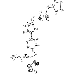 CCOC(Cc1ccc(-c2csc(CNCC(=O)CC3CCCC3)c2)cc1)C(=O)OC